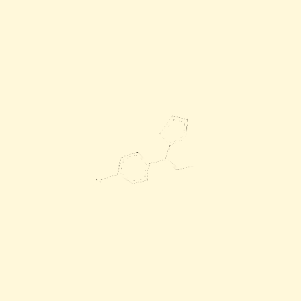 O=CC=C(c1ccc([N+](=O)[O-])cc1)c1cccs1